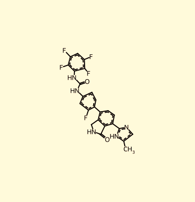 Cc1cnc(-c2ccc(-c3ccc(NC(=O)Nc4c(F)c(F)cc(F)c4F)cc3F)c3c2C(=O)NC3)[nH]1